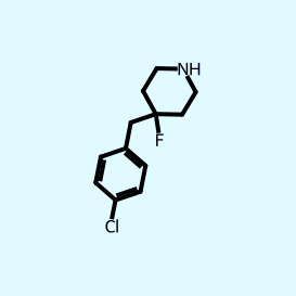 FC1(Cc2ccc(Cl)cc2)CCNCC1